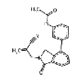 C=C(C#N)CN1Cc2c(cccc2-c2cccc(NC(C)=O)c2)C1=O